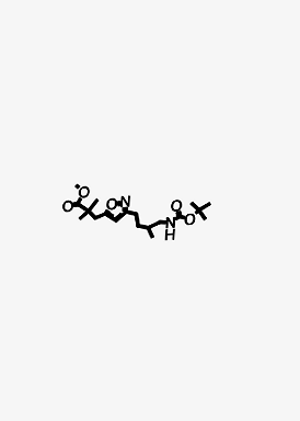 COC(=O)C(C)(C)Cc1cc(CCC(C)CNC(=O)OC(C)(C)C)no1